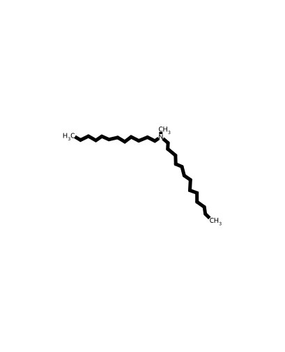 CCCCCCCCCCCCCN(C)CCCCCCCCCCCC